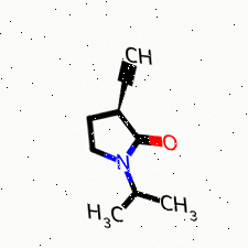 C#C[C@@H]1CCN(C(C)C)C1=O